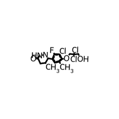 Cc1cc(C2=NNC(=O)CC2C)c(F)c(Cl)c1OCC(Cl)(Cl)CO